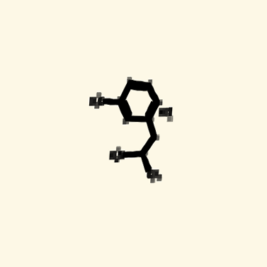 Cc1cccc(C[C@@H](C)N)c1.Cl